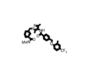 CNC(=O)c1cccc(Cn2nc(C)c(NC(=O)c3ccc(COc4ccc(C(F)(F)F)cc4C)cc3)c2C)c1